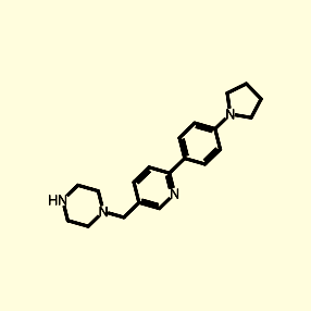 c1cc(-c2ccc(N3CCCC3)cc2)ncc1CN1CCNCC1